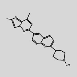 Cc1cn2nc(-c3cnc4nc(C5CCB(C#N)CC5)ccc4c3)cc(C)c2n1